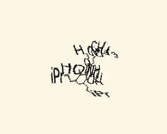 CC(C)CCC1CC(CCC(C)C)C(O)C(NC(=O)CCC[N+](C)(C)C)(C(C)C)C1O